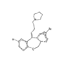 Brc1ccc2c(c1)/C(=C\CCN1CCCC1)c1cc(Br)ccc1OC2